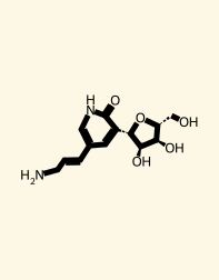 NCC=Cc1c[nH]c(=O)c([C@@H]2O[C@H](CO)[C@@H](O)[C@H]2O)c1